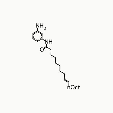 CCCCCCCCC=CCCCCCCCC(=O)Nc1cccc(N)c1